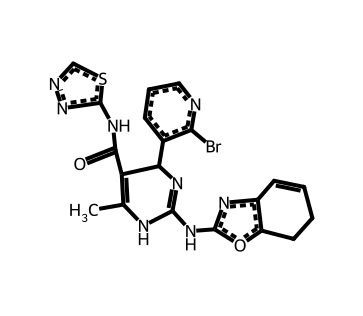 CC1=C(C(=O)Nc2nncs2)C(c2cccnc2Br)N=C(Nc2nc3c(o2)CCC=C3)N1